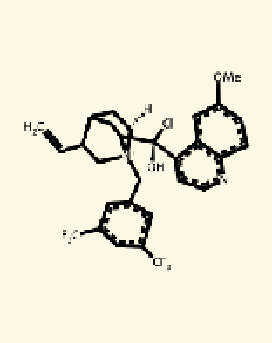 C=CC1C[N+]2(Cc3cc(C(F)(F)F)cc(C(F)(F)F)c3)CCC1C[C@H]2[C@](O)(Cl)c1ccnc2ccc(OC)cc12